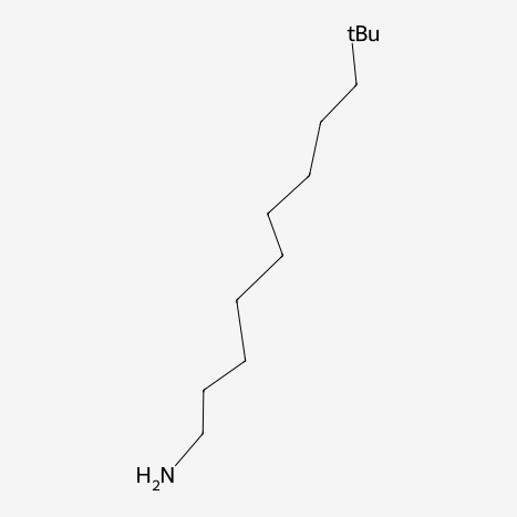 CC(C)(C)CCCCCCCCCN